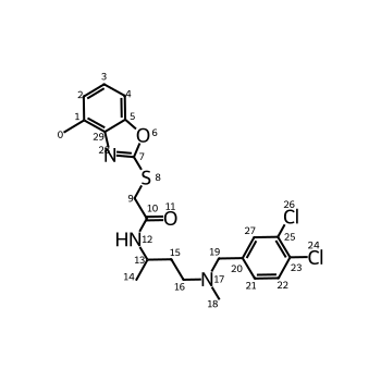 Cc1cccc2oc(SCC(=O)NC(C)CCN(C)Cc3ccc(Cl)c(Cl)c3)nc12